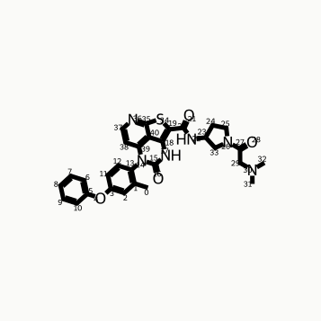 Cc1cc(Oc2ccccc2)ccc1N1C(=O)Nc2c(C(=O)NC3CCN(C(=O)CN(C)C)C3)sc3nccc1c23